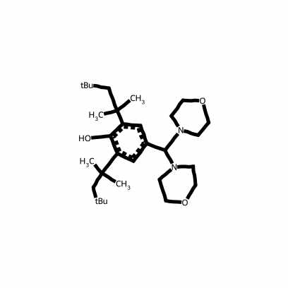 CC(C)(C)CC(C)(C)c1cc(C(N2CCOCC2)N2CCOCC2)cc(C(C)(C)CC(C)(C)C)c1O